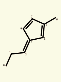 CCC=C1[C]=C(C)C=C1